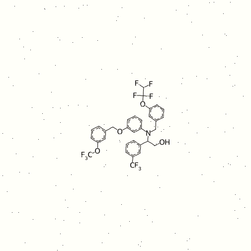 OCC(c1cccc(C(F)(F)F)c1)N(Cc1cccc(OC(F)(F)C(F)F)c1)c1cccc(OCc2cccc(OC(F)(F)F)c2)c1